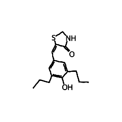 CCCc1cc(C=C2SCNC2=O)cc(CCC)c1O